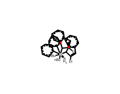 CCC[CH2][Zr](=[SiH2])([CH2]CCC)([c]1ccccc1)([c]1ccccc1)([CH]1C(CC)=Cc2ccccc21)[CH]1C(CC)=Cc2ccccc21